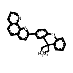 CCC1(CC)c2ccccc2Oc2ccc(-c3ccc4ccc5cccnc5c4n3)cc21